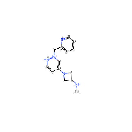 CNC1CN(C2=CN(Cc3ccccn3)NC=C2)C1